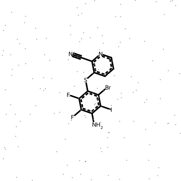 N#Cc1ncccc1Sc1c(F)c(F)c(N)c(I)c1Br